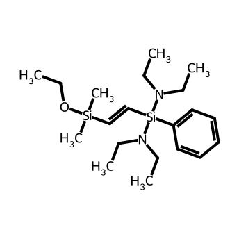 CCO[Si](C)(C)C=C[Si](c1ccccc1)(N(CC)CC)N(CC)CC